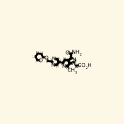 Cc1nc(-c2cnc(COC3CCCCO3)nc2)cc2c(C(N)=O)nn(CC(=O)O)c12